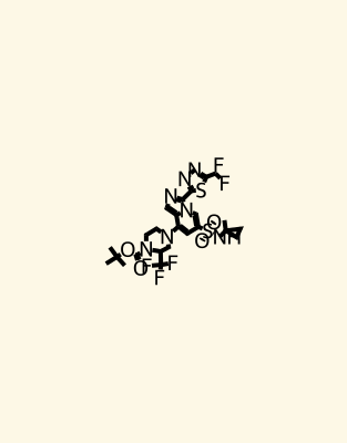 CC1(NS(=O)(=O)c2cc(N3CCN(C(=O)OC(C)(C)C)C(C(F)(F)F)C3)c3cnc(-c4nnc(C(F)F)s4)n3c2)CC1